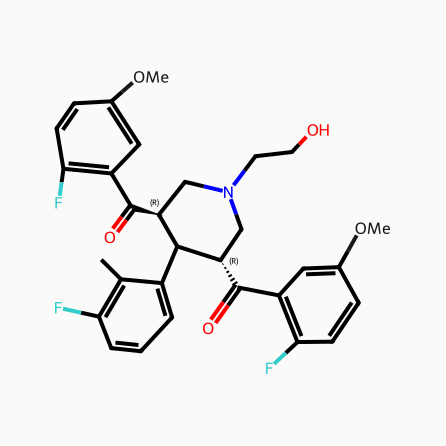 COc1ccc(F)c(C(=O)[C@H]2CN(CCO)C[C@H](C(=O)c3cc(OC)ccc3F)C2c2cccc(F)c2C)c1